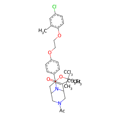 CCOC(=O)C1=C(c2ccc(OCCOc3ccc(Cl)cc3C)cc2)CC2CN(C(C)=O)CC1N2C(=O)OC(C)(C)C(Cl)(Cl)Cl